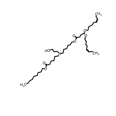 CC/C=C\CCCCOC(CCC(=O)OCCCCCCN(CCCO)CCCCCC(=O)OCCCCCCCCC)OCCCC/C=C\CC